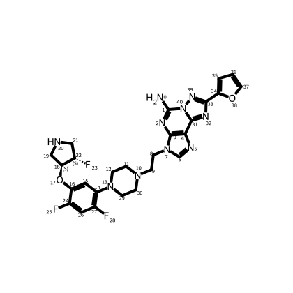 Nc1nc2c(ncn2CCN2CCN(c3cc(O[C@H]4CNC[C@@H]4F)c(F)cc3F)CC2)c2nc(-c3ccco3)nn12